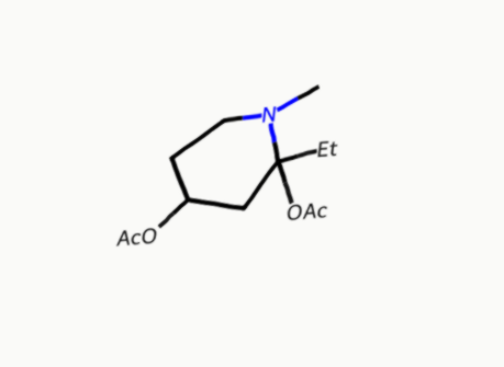 CCC1(OC(C)=O)CC(OC(C)=O)CCN1C